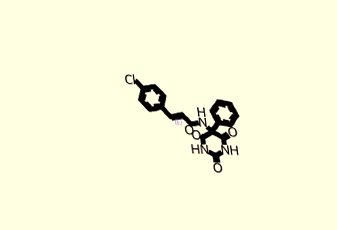 O=C(/C=C/c1ccc(Cl)cc1)NC1(c2ccccc2)C(=O)NC(=O)NC1=O